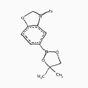 CCN1COc2ccc(B3OCC(C)(C)O3)cc21